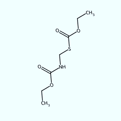 CCOC(=O)NCSC(=O)OCC